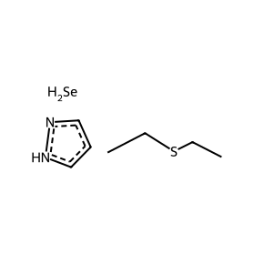 CCSCC.[SeH2].c1cn[nH]c1